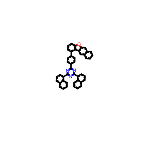 c1ccc2cc3c(cc2c1)oc1cccc(-c2ccc(-c4nc(-c5cccc6ccccc56)nc(-c5cccc6ccccc56)n4)cc2)c13